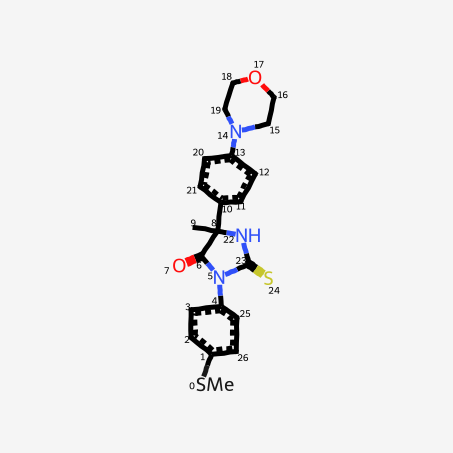 CSc1ccc(N2C(=O)C(C)(c3ccc(N4CCOCC4)cc3)NC2=S)cc1